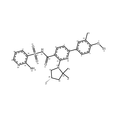 CCOc1ccc(-c2ccc(C(=O)NS(=O)(=O)c3cccnc3N)c(N3C[C@@H](C)CC3(C)C)n2)cc1C